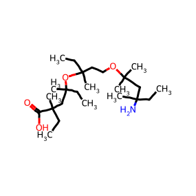 CCC(C)(N)CC(C)(C)OCCC(C)(CC)OC(C)(CC)CC(C)(CC)C(=O)O